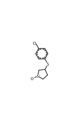 [O-][S+]1CCC(Sc2ccc(Cl)cc2)C1